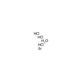 Cl.Cl.Cl.O.[Er]